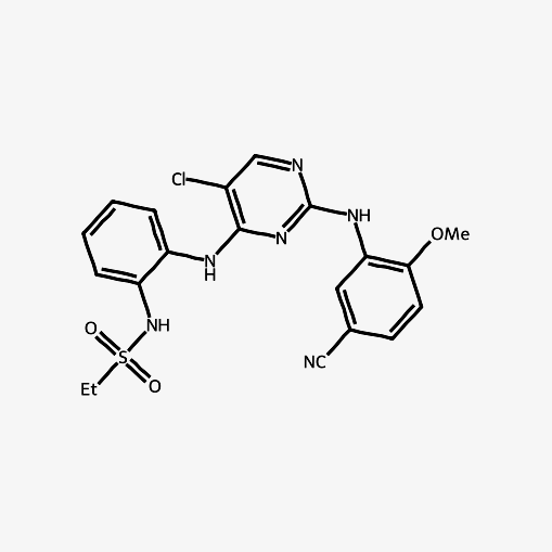 CCS(=O)(=O)Nc1ccccc1Nc1nc(Nc2cc(C#N)ccc2OC)ncc1Cl